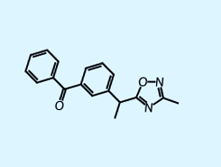 Cc1noc(C(C)c2cccc(C(=O)c3ccccc3)c2)n1